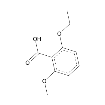 CCOc1cccc(OC)c1C(=O)O